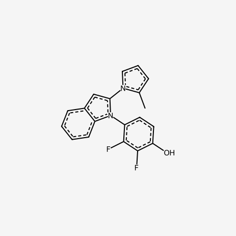 Cc1cccn1-c1cc2ccccc2n1-c1ccc(O)c(F)c1F